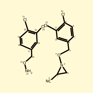 N#CC1CN1OCc1ccc(Cl)c(Cl)c1.NOCc1ccc(Cl)c(Cl)c1